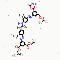 CCCCC(CC)COC(=O)c1cc(N=Nc2ccc(NC(=O)Nc3ccc(N=Nc4cc(COOC(CC)CCCC)cc(C(=O)OC(CC)CCCC)c4)c(C)c3)cc2C)cc(C(=O)OCC(CC)CCCC)c1